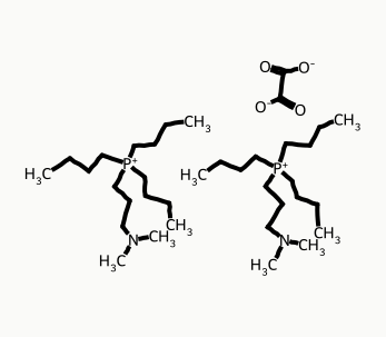 CCCC[P+](CCCC)(CCCC)CCCN(C)C.CCCC[P+](CCCC)(CCCC)CCCN(C)C.O=C([O-])C(=O)[O-]